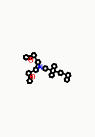 c1ccc2c(-c3ccc(-c4c5ccccc5c(-c5ccc(-n6c7ccc(-c8cccc9c8oc8ccccc89)cc7c7cc(-c8cccc9c8oc8ccccc89)ccc76)cc5)c5ccccc45)cc3)cccc2c1